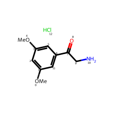 COc1cc(OC)cc(C(=O)CN)c1.Cl